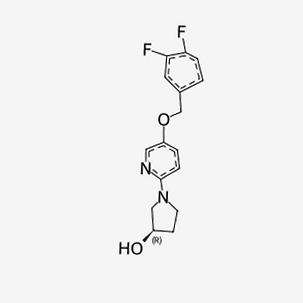 O[C@@H]1CCN(c2ccc(OCc3ccc(F)c(F)c3)cn2)C1